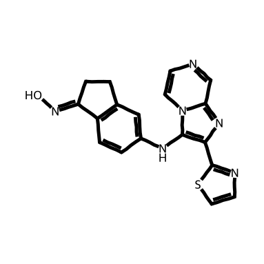 ON=C1CCc2cc(Nc3c(-c4nccs4)nc4cnccn34)ccc21